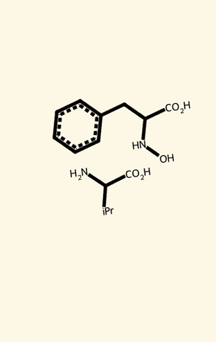 CC(C)C(N)C(=O)O.O=C(O)C(Cc1ccccc1)NO